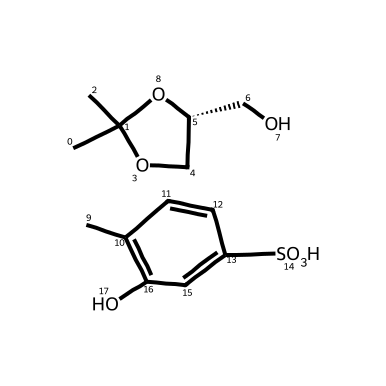 CC1(C)OC[C@@H](CO)O1.Cc1ccc(S(=O)(=O)O)cc1O